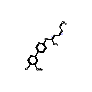 C=N/N=C\C=C(/C)Nc1ncc(-c2ccc(Cl)c(OC)c2)cn1